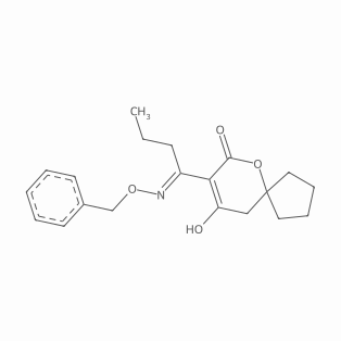 CCCC(=NOCc1ccccc1)C1=C(O)CC2(CCCC2)OC1=O